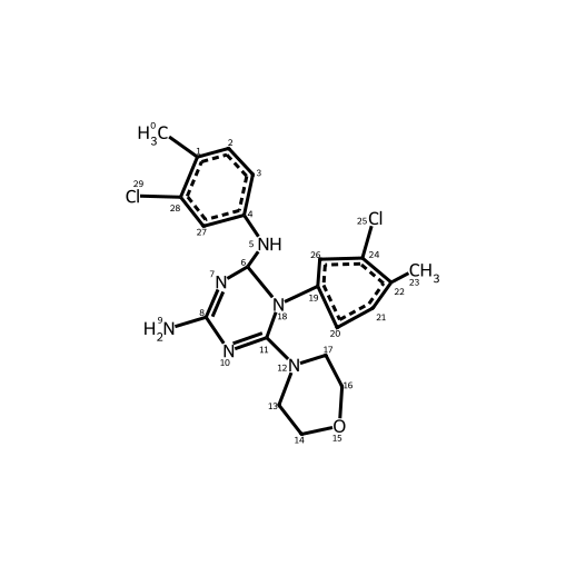 Cc1ccc(NC2N=C(N)N=C(N3CCOCC3)N2c2ccc(C)c(Cl)c2)cc1Cl